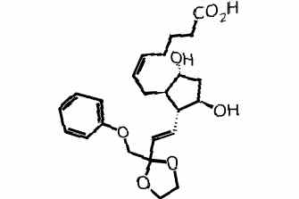 O=C(O)CCC/C=C\C[C@@H]1[C@@H](/C=C/C2(COc3ccccc3)OCCO2)[C@H](O)C[C@H]1O